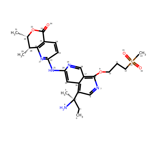 CC[C@@](C)(N)c1cnc(OCCCS(C)(=O)=O)c2cnc(Nc3ccc4c(n3)[C@H](C)[C@H](C)OC4=O)cc12